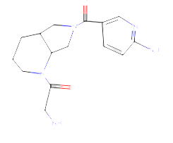 NCC(=O)N1CCCC2CN(C(=O)c3ccc(N)nc3)CC21